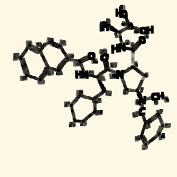 CC(C)[C@H](NC(=O)[C@@H]1C[C@@H](N(C)Cc2ccccc2)CN1C(=O)[C@@H](CC1CCCCC1)NC(=O)c1ccc2ccccc2c1)B(O)O